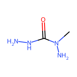 CN(N)C(=O)NN